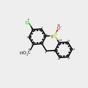 O=C(O)c1cc(Cl)cc2c1Cc1ccccc1[S+]2[O-]